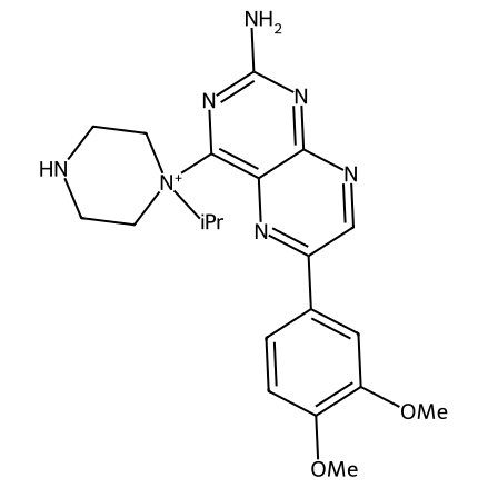 COc1ccc(-c2cnc3nc(N)nc([N+]4(C(C)C)CCNCC4)c3n2)cc1OC